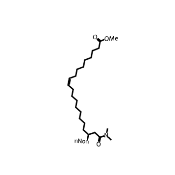 CCCCCCCCCC(CCCCCCCC/C=C\CCCCCCCC(=O)OC)CC(=O)N(C)C